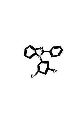 Brc1cc(Br)cc(-n2c(-c3ccccc3)nc3ccccc32)c1